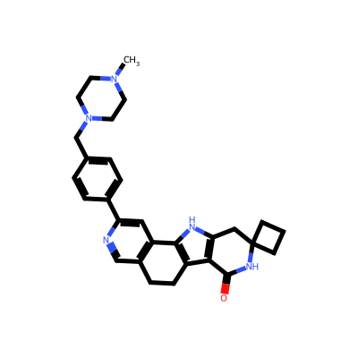 CN1CCN(Cc2ccc(-c3cc4c(cn3)CCc3c-4[nH]c4c3C(=O)NC3(CCC3)C4)cc2)CC1